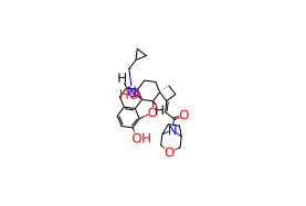 O=C(/C=C1\CC[C@]12CC[C@@]1(O)[C@H]3Cc4ccc(O)c5c4[C@@]1(CCN3CC1CC1)[C@H]2O5)N1C2CCC1COC2